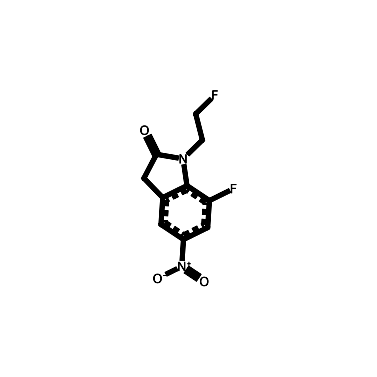 O=C1Cc2cc([N+](=O)[O-])cc(F)c2N1CCF